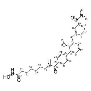 COc1c(Cc2cccc(C(=O)N(C)C)c2)cccc1-c1ccc(C(=O)NCCCCCCC(=O)NO)cc1